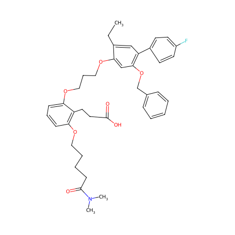 CCc1cc(-c2ccc(F)cc2)c(OCc2ccccc2)cc1OCCCOc1cccc(OCCCCC(=O)N(C)C)c1CCC(=O)O